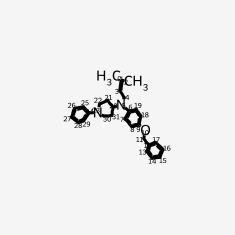 CC(C)=CCN(c1ccc(OCc2ccccc2)cc1)C1CCN(c2ccccc2)CC1